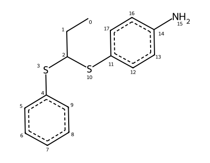 CCC(Sc1ccccc1)Sc1ccc(N)cc1